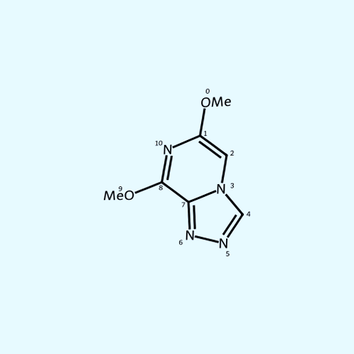 COc1cn2cnnc2c(OC)n1